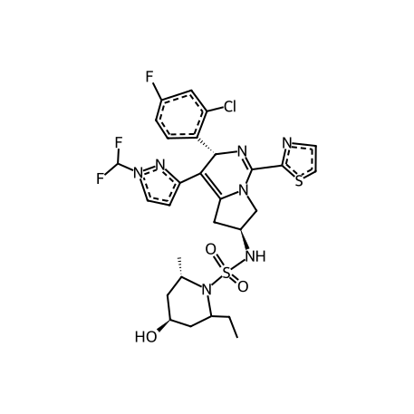 CCC1C[C@@H](O)C[C@H](C)N1S(=O)(=O)N[C@H]1CC2=C(c3ccn(C(F)F)n3)[C@H](c3ccc(F)cc3Cl)N=C(c3nccs3)N2C1